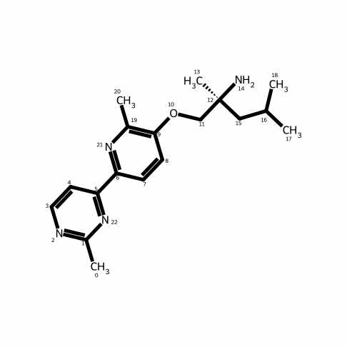 Cc1nccc(-c2ccc(OC[C@@](C)(N)CC(C)C)c(C)n2)n1